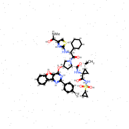 C=C[C@@H]1C[C@]1(NC(=O)[C@@H]1C[C@@H](Oc2nc(-c3ccc(C(F)(F)F)cc3)nc3c2oc2ccccc23)CN1C(=O)[C@@H](Nc1nc(C(=O)NC)cs1)C1CCCCC1)C(=O)NS(=O)(=O)C1CC1